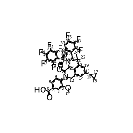 COc1cc(C(=O)O)ccc1N(Cc1cc(C2CC2)cc(C(C)(C)C)c1)C(=O)CN(Cc1ccc(F)c(F)c1F)S(=O)(=O)c1c(F)c(F)c(F)c(F)c1F